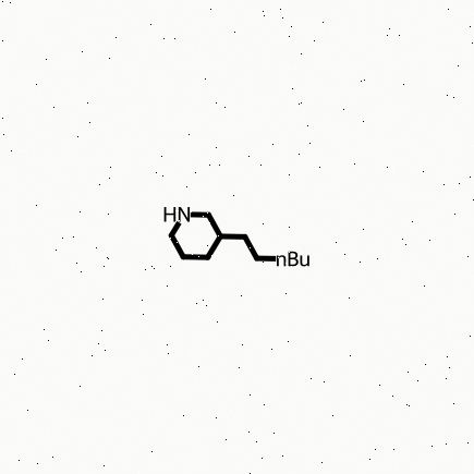 CCCCCCC1CCCNC1